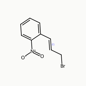 O=[N+]([O-])c1ccccc1/C=C/CBr